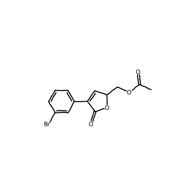 CC(=O)OCC1C=C(c2cccc(Br)c2)C(=O)O1